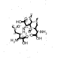 CSCC([C@H](N)C(=O)O)[S+]([O-])C(CSC)[C@H](N)C(=O)O.C[S+]([O-])CCC(N)C(=O)O